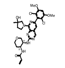 C=CC(=O)N[C@H]1CCOC[C@H]1Nc1ncc2cc(-c3c(Cl)c(OC)cc(OC)c3Cl)nc(N3CCC(C)(O)C3)c2n1